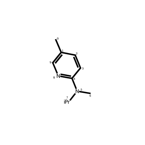 Cc1ccc(N(C)C(C)C)nc1